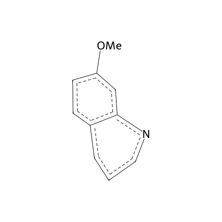 [CH2]Oc1ccc2cccnc2c1